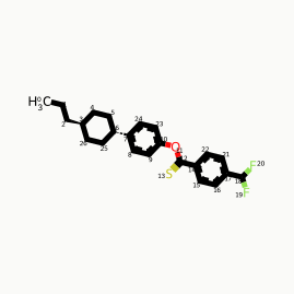 CCC[C@H]1CC[C@H](c2ccc(OC(=S)c3ccc(C(F)F)cc3)cc2)CC1